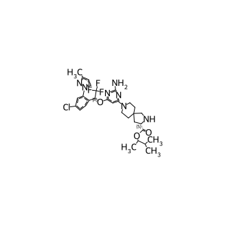 Cc1ccn(-c2cc(Cl)ccc2[C@@H](Oc2cc(N3CCC4(CC3)CN[C@H](C(=O)OC(C)C(C)C)C4)nc(N)n2)C(F)(F)F)n1